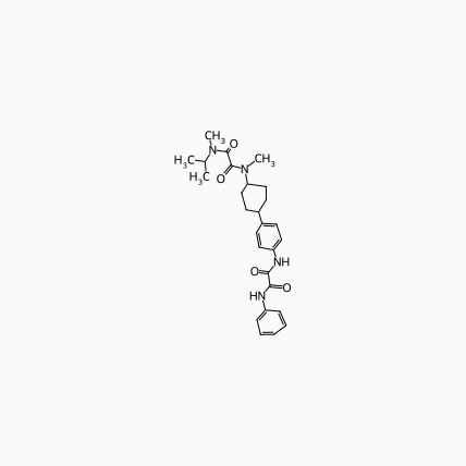 CC(C)N(C)C(=O)C(=O)N(C)C1CCC(c2ccc(NC(=O)C(=O)Nc3ccccc3)cc2)CC1